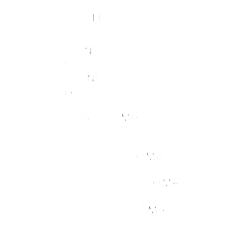 COc1ccc(/C=C\c2cc(OC)c(OC)c(OC)c2)cc1OCC(=O)Nc1nc2c(C)cccc2s1